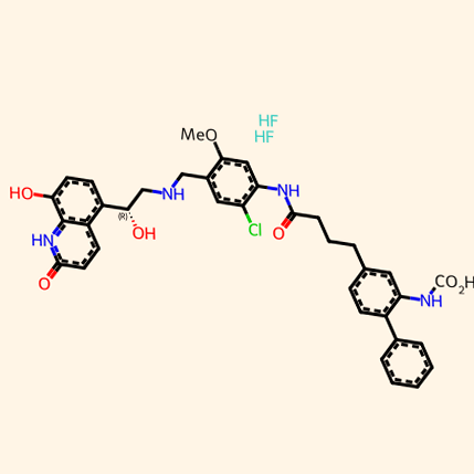 COc1cc(NC(=O)CCCc2ccc(-c3ccccc3)c(NC(=O)O)c2)c(Cl)cc1CNC[C@H](O)c1ccc(O)c2[nH]c(=O)ccc12.F.F